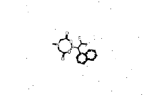 CN1CC(=O)OB(C(c2cccc3ccccc23)C(F)F)OC(=O)C1